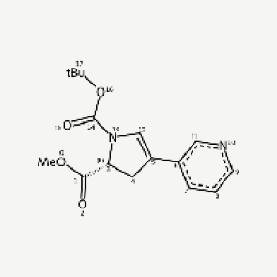 COC(=O)[C@H]1CC(c2cccnc2)=CN1C(=O)OC(C)(C)C